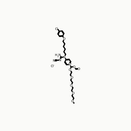 COCCOCCOCCOCCOC(OC=O)[n+]1ccc(N(CCCCCCOc2ccc(Cl)cc2)C(N)=NC#N)cc1.[Cl-]